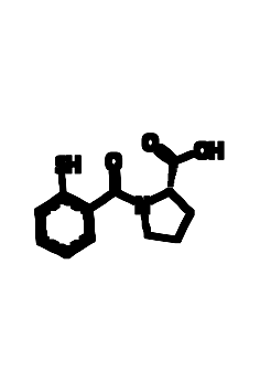 O=C(O)[C@@H]1CCCN1C(=O)c1ccccc1S